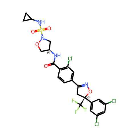 O=C(N[C@H]1CON(S(=O)(=O)NC2CC2)C1)c1ccc(C2=NO[C@@](c3cc(Cl)cc(Cl)c3)(C(F)(F)F)C2)cc1Cl